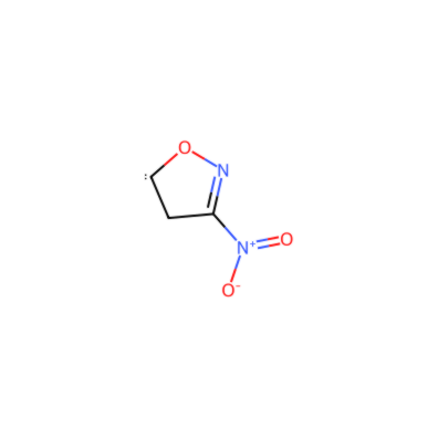 O=[N+]([O-])C1=NO[C]C1